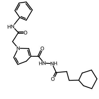 O=C(CCC1CCCCC1)NNC(=O)C1=CN(CC(=O)Nc2ccccc2)C=CC1